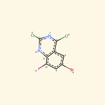 Clc1nc(Cl)c2cc(Br)cc(I)c2n1